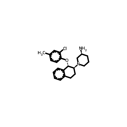 Cc1ccc(O[C@H]2c3ccccc3CC[C@@H]2N2CCC[C@H](N)C2)c(Cl)c1